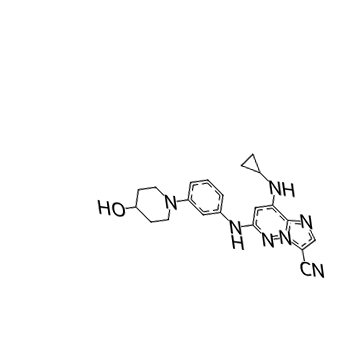 N#Cc1cnc2c(NC3CC3)cc(Nc3cccc(N4CCC(O)CC4)c3)nn12